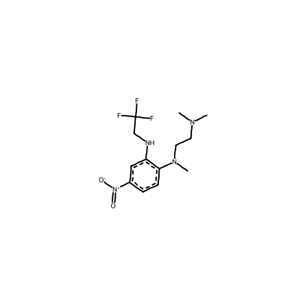 CN(C)CCN(C)c1ccc([N+](=O)[O-])cc1NCC(F)(F)F